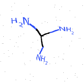 N[C](N)N